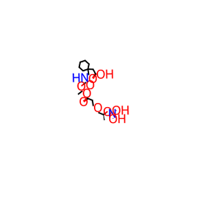 CC(OC(=O)CCOC[C@H](C)ON(O)O)OC(=O)NCC1(CC(=O)O)CCCCC1